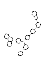 c1ccc(-c2cccc(N(c3ccc(-c4ccc(-c5cccc(-c6cc7ccccc7o6)c5)cc4)cc3)c3ccc(-c4cc5ccccc5c5ccccc45)cc3)c2)cc1